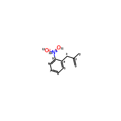 C=C(C)Cc1ccccc1[N+](=O)[O-]